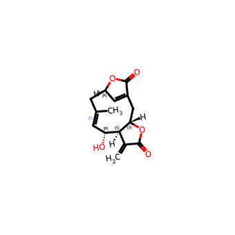 C=C1C(=O)O[C@H]2CC3=C[C@@H](C/C(C)=C/[C@@H](O)[C@H]12)OC3=O